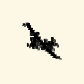 CCCCCCCCNC(=O)C(CSSCC(NC(=O)OC(C)(C)C)C(=O)NCCCCCCCC)NC(=O)OC(C)(C)C